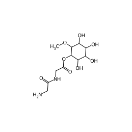 COC1C(O)C(O)C(O)C(O)C1OC(=O)CNC(=O)CN